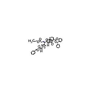 C=CCOC(=O)C/C=C(/C(=O)N[C@@H]1C(=O)N2C(C(=O)OC(c3ccccc3)c3ccccc3)=CCS[C@H]12)c1csc(NC(=O)OCc2ccccc2)n1